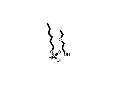 CCCCCCOS(=O)(=O)O.CCOCCO